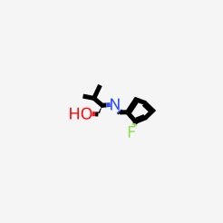 CC(C)[C@@H](CO)N=Cc1ccccc1F